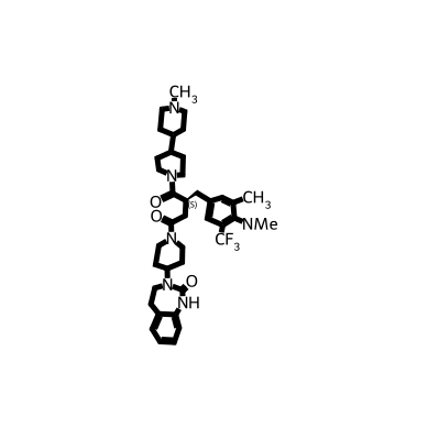 CNc1c(C)cc(C[C@@H](CC(=O)N2CCC(N3CCc4ccccc4NC3=O)CC2)C(=O)N2CCC(C3CCN(C)CC3)CC2)cc1C(F)(F)F